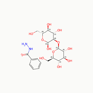 NNC(=O)c1ccccc1.OC[C@H]1O[C@@H](O[C@@H]2[C@@H](O)[C@H](O)[C@@H](CO)O[C@@H]2O)[C@H](O)[C@@H](O)[C@@H]1O